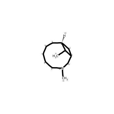 CC1C2C[C@@H]1CCCCCN(C)C2